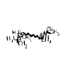 CCC(C)=NO[Si](C)(C)CCCCCCCC[Si](C)(C)ON=C(C)CC